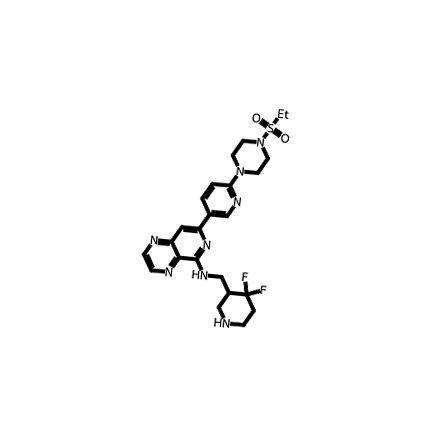 CCS(=O)(=O)N1CCN(c2ccc(-c3cc4nccnc4c(NCC4CNCCC4(F)F)n3)cn2)CC1